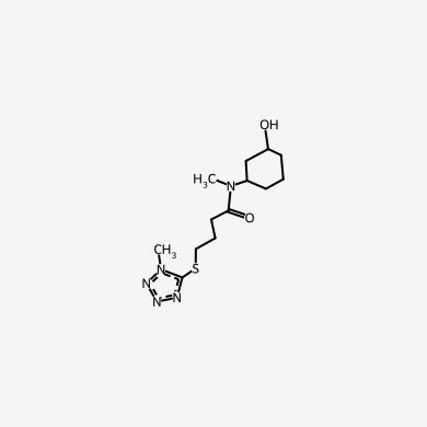 CN(C(=O)CCCSc1nnnn1C)C1CCCC(O)C1